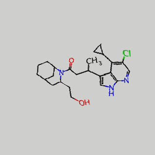 CC(CC(=O)N1C(CCO)CC2CCCC1C2)c1c[nH]c2ncc(Cl)c(C3CC3)c12